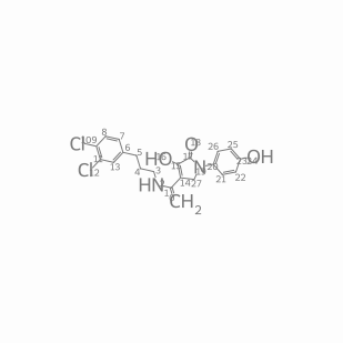 C=C(NCCCc1ccc(Cl)c(Cl)c1)C1=C(O)C(=O)N(c2ccc(O)cc2)C1